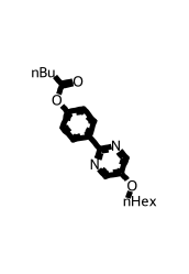 CCCCCCOc1cnc(-c2ccc(OC(=O)CCCC)cc2)nc1